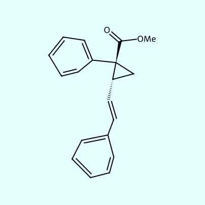 COC(=O)[C@@]1(c2ccccc2)C[C@@H]1/C=C/c1ccccc1